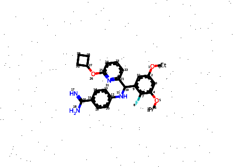 CCOc1cc(OC(C)C)c(F)c(C(Nc2ccc(C(=N)N)cc2)c2cccc(OC3CCC3)n2)c1